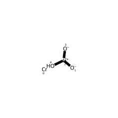 [Cr].[O-][I+2]([O-])O